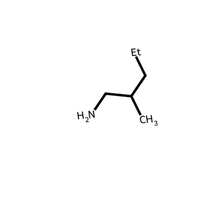 [CH2]CCC(C)CN